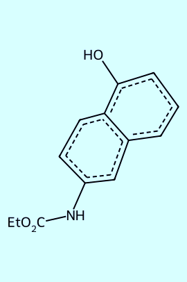 CCOC(=O)Nc1ccc2c(O)cccc2c1